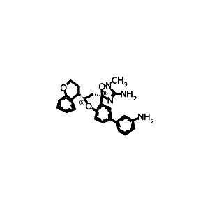 CN1O[C@@]2(C[C@@H](C3CCOc4ccccc43)Oc3ccc(-c4cccc(N)c4)cc32)N=C1N